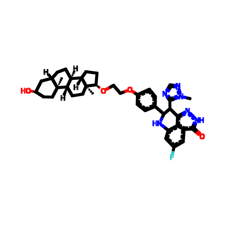 Cn1ncnc1C1c2n[nH]c(=O)c3cc(F)cc(c23)NC1c1ccc(OCCO[C@H]2CC[C@H]3[C@@H]4CC[C@H]5C[C@H](O)CC[C@]5(C)[C@H]4CC[C@]23C)cc1